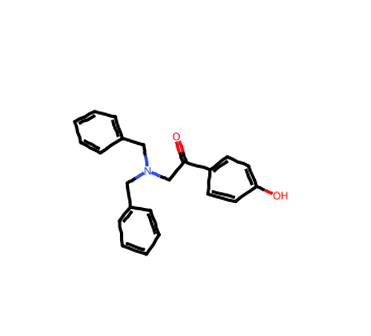 O=C(CN(Cc1ccccc1)Cc1ccccc1)c1ccc(O)cc1